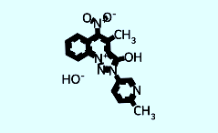 Cc1ccc(-n2n[n+]3c(c(C)c([N+](=O)[O-])c4ccccc43)c2O)cn1.[OH-]